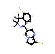 CC1(C)N=C(c2cnc3c(F)ccn3c2)c2cccc(F)c2C1(C)C